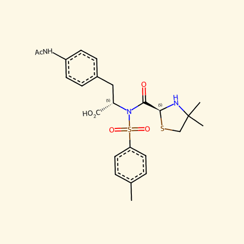 CC(=O)Nc1ccc(C[C@@H](C(=O)O)N(C(=O)[C@H]2NC(C)(C)CS2)S(=O)(=O)c2ccc(C)cc2)cc1